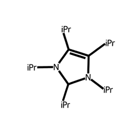 CC(C)C1=C(C(C)C)N(C(C)C)C(C(C)C)N1C(C)C